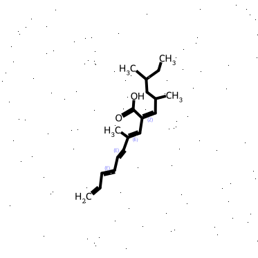 C=C/C=C/C=C/C(C)=C/C(=C/C(C)CC(C)CC)C(=O)O